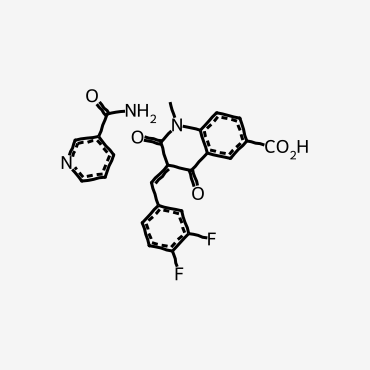 CN1C(=O)/C(=C/c2ccc(F)c(F)c2)C(=O)c2cc(C(=O)O)ccc21.NC(=O)c1cccnc1